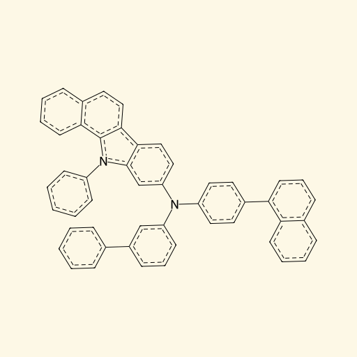 c1ccc(-c2cccc(N(c3ccc(-c4cccc5ccccc45)cc3)c3ccc4c5ccc6ccccc6c5n(-c5ccccc5)c4c3)c2)cc1